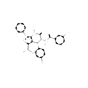 CCN1C(=O)[C@@H](NC(=O)c2cccc(C(F)(F)F)c2)[C@@H](c2ccc(F)cc2)c2c([C@H](C)N)nn(-c3ccccc3)c21